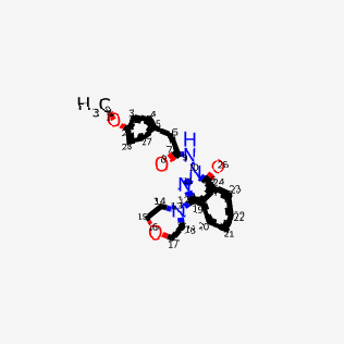 COc1ccc(CC(=O)Nn2nc(N3CCOCC3)c3ccccc3c2=O)cc1